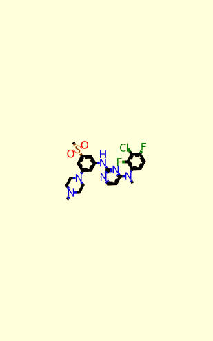 CN1CCN(c2cc(Nc3nccc(N(C)c4ccc(F)c(Cl)c4F)n3)cc(S(C)(=O)=O)c2)CC1